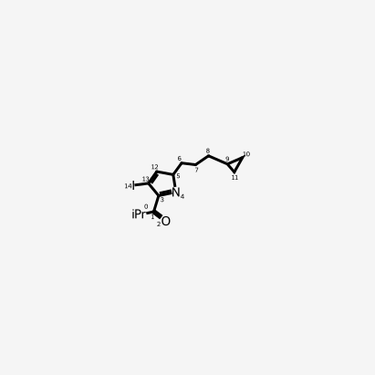 CC(C)C(=O)C1=NC(CCCC2CC2)C=C1I